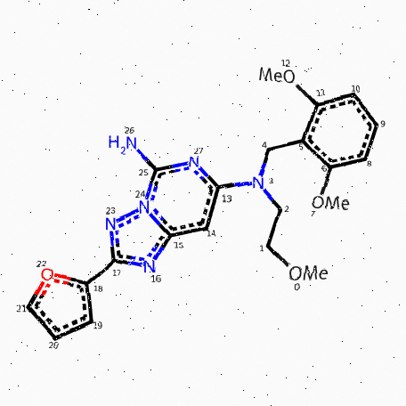 COCCN(Cc1c(OC)cccc1OC)c1cc2nc(-c3ccco3)nn2c(N)n1